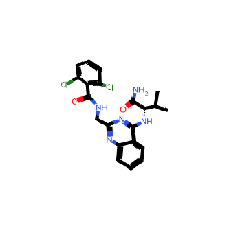 CC(C)[C@H](Nc1nc(CNC(=O)c2c(Cl)cccc2Cl)nc2ccccc12)C(N)=O